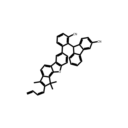 C=C/C=C\C1=C(C)c2ccc3c(oc4ccc(-c5cccc(C#N)c5C5c6ccccc6-c6cc(C#N)ccc65)cc43)c2C1(C)C